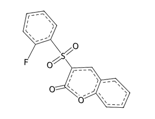 O=c1oc2ccccc2cc1S(=O)(=O)c1ccccc1F